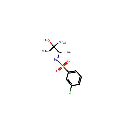 CCCCCCC(O)(CCCCCC)[C@@H](NS(=O)(=O)c1cccc(Cl)c1)[C@@H](C)CC